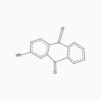 [CH2]CCc1ccc2c(c1)C(=O)c1ccccc1C2=O